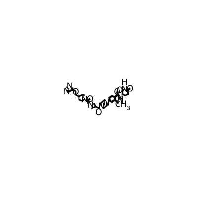 Cc1nn(C2CCC(=O)NC2=O)c(=O)c2ccc(N3CCN(C(=O)C4CN(CC(=O)N5CCC(COc6cncnc6)CC5)C4)CC3)cc12